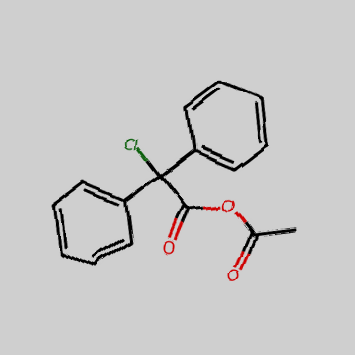 CC(=O)OC(=O)C(Cl)(c1ccccc1)c1ccccc1